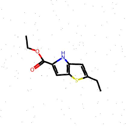 CCOC(=O)c1cc2sc(CC)cc2[nH]1